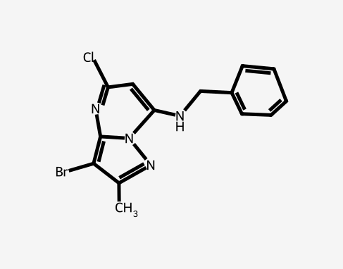 Cc1nn2c(NCc3ccccc3)cc(Cl)nc2c1Br